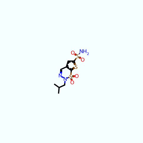 CC(C)CN1N=Cc2cc(S(N)(=O)=O)sc2S1(=O)=O